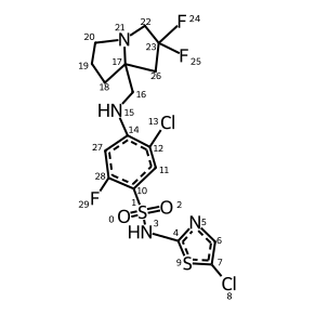 O=S(=O)(Nc1ncc(Cl)s1)c1cc(Cl)c(NCC23CCCN2CC(F)(F)C3)cc1F